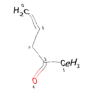 C=CC[C](=O)[GeH3]